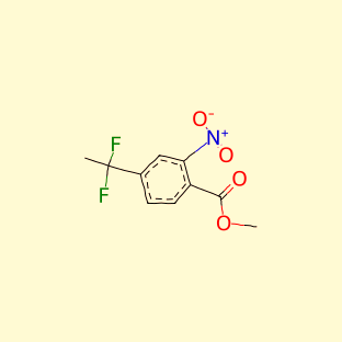 COC(=O)c1ccc(C(C)(F)F)cc1[N+](=O)[O-]